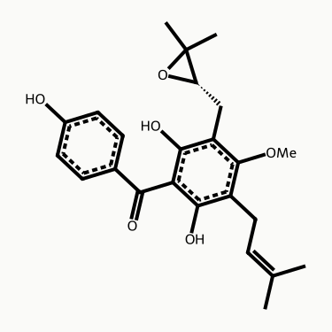 COc1c(CC=C(C)C)c(O)c(C(=O)c2ccc(O)cc2)c(O)c1C[C@@H]1OC1(C)C